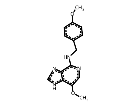 COc1ccc(CNc2ncc(OC)c3[nH]cnc23)cc1